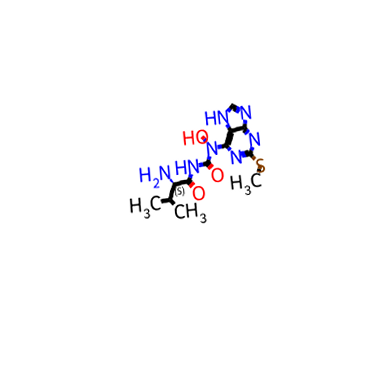 CSc1nc(N(O)C(=O)NC(=O)[C@@H](N)C(C)C)c2[nH]cnc2n1